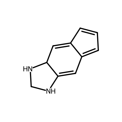 C1=CC2=CC3NCNC3=CC2=C1